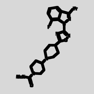 CNC(=O)N1CCC(N2CCC(c3nc(-n4nc(C(C)C)c5cccc(F)c54)no3)CC2)CC1